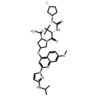 COc1ccc2c(OC3C[C@@H](C(N)=O)N(C(=O)[C@@H](NC(=O)O[C@@H]4CC[C@@H](C)C4)C(C)(C)C)C3)cc(-n3ccc(NC(C)C)n3)nc2c1